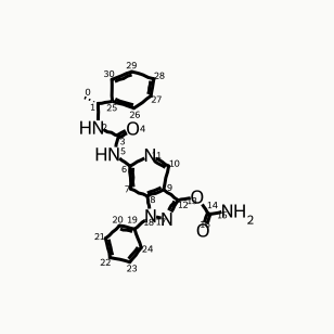 C[C@@H](NC(=O)Nc1cc2c(cn1)c(OC(N)=O)nn2-c1ccccc1)c1ccccc1